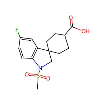 CS(=O)(=O)N1CC2(CCC(C(=O)O)CC2)c2cc(F)ccc21